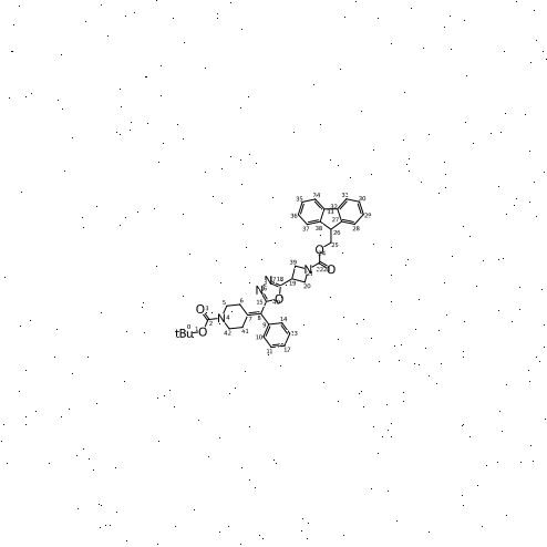 CC(C)(C)OC(=O)N1CCC(=C(c2ccccc2)c2nnc(C3CN(C(=O)OCC4c5ccccc5-c5ccccc54)C3)o2)CC1